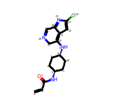 C=CC(=O)N[C@H]1CC[C@@H](NC2=C3C=C(Cl)N=C3C=NC2)CC1